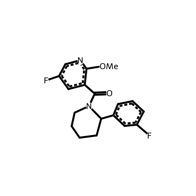 COc1ncc(F)cc1C(=O)N1CCCCC1c1cccc(F)c1